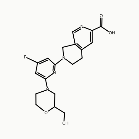 O=C(O)c1cc2c(cn1)CN(c1cc(F)cc(N3CCOC(CO)C3)n1)CC2